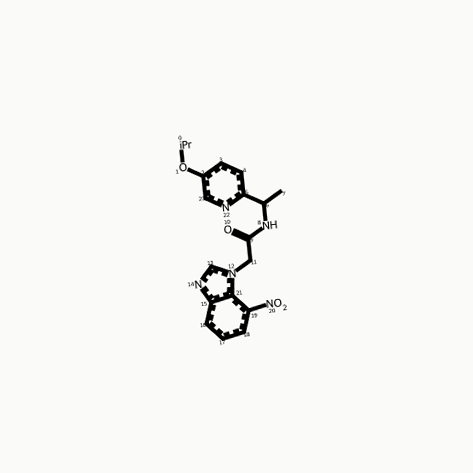 CC(C)Oc1ccc(C(C)NC(=O)Cn2cnc3cccc([N+](=O)[O-])c32)nc1